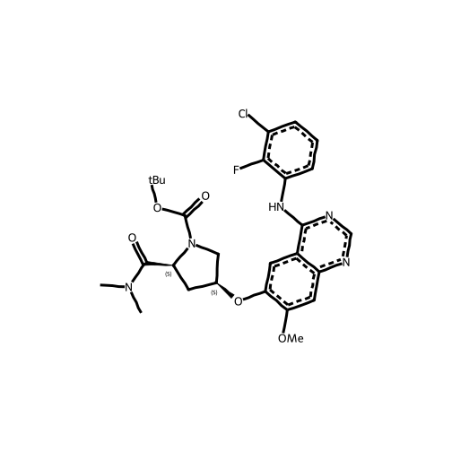 COc1cc2ncnc(Nc3cccc(Cl)c3F)c2cc1O[C@H]1C[C@@H](C(=O)N(C)C)N(C(=O)OC(C)(C)C)C1